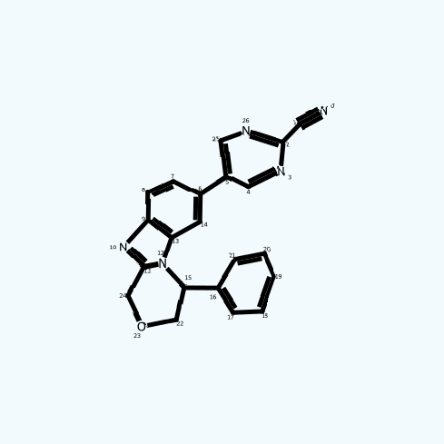 N#Cc1ncc(-c2ccc3nc4n(c3c2)C(c2ccccc2)COC4)cn1